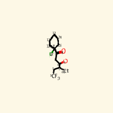 CCC(CC(F)(F)F)C(=O)CC(=O)C1(F)CCCCC1